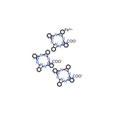 O=C([O-])c1cccc2c3nc4nc(nc5[nH]c(nc6nc(nc([nH]3)c12)-c1ccccc1-6)c1ccccc51)-c1ccccc1-4.O=C([O-])c1cccc2c3nc4nc(nc5[nH]c(nc6nc(nc([nH]3)c12)-c1ccccc1-6)c1ccccc51)-c1ccccc1-4.O=C([O-])c1cccc2c3nc4nc(nc5[nH]c(nc6nc(nc([nH]3)c12)-c1ccccc1-6)c1ccccc51)-c1ccccc1-4.[Fe+3]